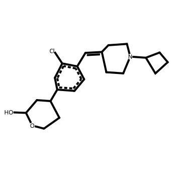 OC1CC(c2ccc(C=C3CCN(C4CCC4)CC3)c(Cl)c2)CCO1